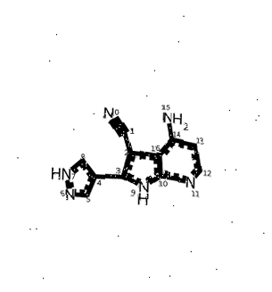 N#Cc1c(-c2cn[nH]c2)[nH]c2nccc(N)c12